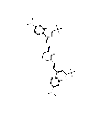 CN(C)c1ccc2c(c1)OC(C(C)(C)C)C=C2/C=C/C1=C(Cl)C(=C/C=C2\C=C(C(C)(C)C)Oc3cc(N(C)C)ccc32)/CCC1